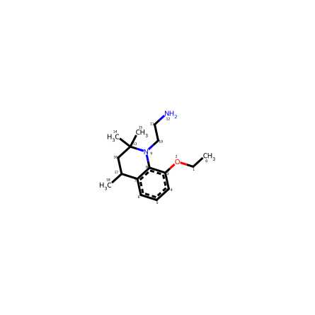 CCOc1cccc2c1N(CCN)C(C)(C)CC2C